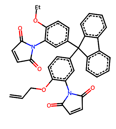 C=CCOc1ccc(C2(c3ccc(OCC)c(N4C(=O)C=CC4=O)c3)c3ccccc3-c3ccccc32)cc1N1C(=O)C=CC1=O